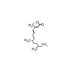 CCC(C)CCC(C)CCC=CC(C)=CC(=O)Cl